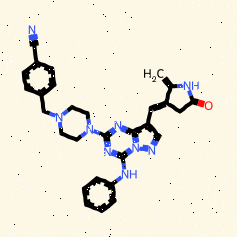 C=C1NC(=O)C/C1=C\c1cnn2c(Nc3ccccc3)nc(N3CCN(Cc4ccc(C#N)cc4)CC3)nc12